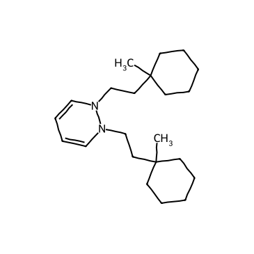 CC1(CCN2C=CC=CN2CCC2(C)CCCCC2)CCCCC1